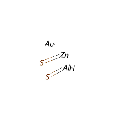 [AlH]=[S].[Au].[S]=[Zn]